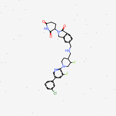 O=C1CCC(N2Cc3cc(CNCC4CCN(c5ncc(-c6cccc(Cl)c6)cc5F)CC4F)ccc3C2=O)C(=O)N1